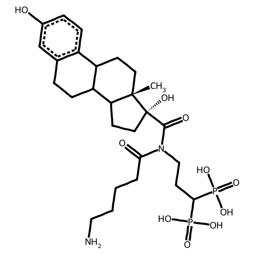 C[C@]12CCC3c4ccc(O)cc4CCC3C1CC[C@]2(O)C(=O)N(CCC(P(=O)(O)O)P(=O)(O)O)C(=O)CCCCN